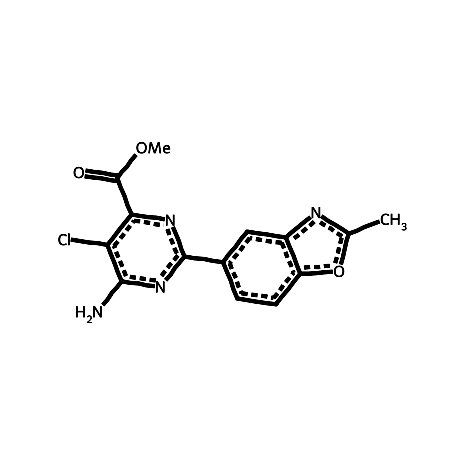 COC(=O)c1nc(-c2ccc3oc(C)nc3c2)nc(N)c1Cl